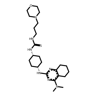 CN(C)c1nc(N[C@H]2CC[C@@H](NC(=S)NCCCN3CCOCC3)CC2)nc2c1CCCC2